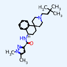 Cc1cc(C(=O)N[C@@H]2CCC3(CCN(CCC(C)(C)C)CC3)c3ccccc32)nn1C